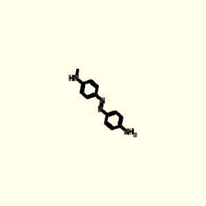 CNc1ccc(N=Nc2ccc(N)cc2)cc1